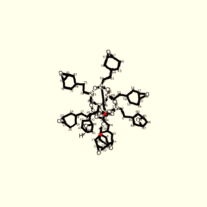 C(C[Si]12O[Si]3(CCC4CCC5OC5C4)O[Si]4(CCC5CCC6OC6C5)O[Si](CCC5CCC6OC6C5)(O1)O[Si]1(CCC5CC[C@@H]6CC5O6)O[Si](CCC5CCC6OC6C5)(O2)O[Si](CCC2CCC5OC5C2)(O3)O[Si](CCC2CCC3OC3C2)(O4)O1)C1CC2CC(C1)O2